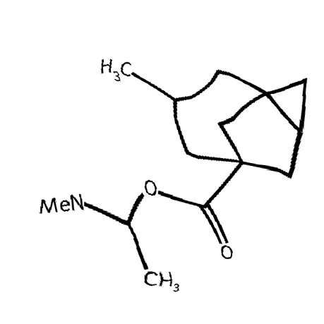 CNC(C)OC(=O)C12CC(C)CC3(CC3C1)C2